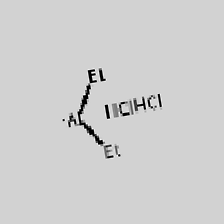 C[CH2][Al][CH2]C.Cl.Cl